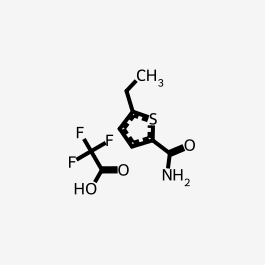 CCc1ccc(C(N)=O)s1.O=C(O)C(F)(F)F